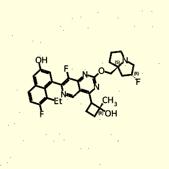 CCc1c(F)ccc2cc(O)cc(-c3ncc4c(C5CC[C@@]5(C)O)nc(OC[C@@]56CCCN5C[C@H](F)C6)nc4c3F)c12